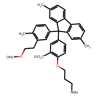 CCOC(=O)c1cc(C2(c3ccc(C)c(CCOC=O)c3)c3cc(C)ccc3-c3ccc(C)cc32)ccc1OCCCNC